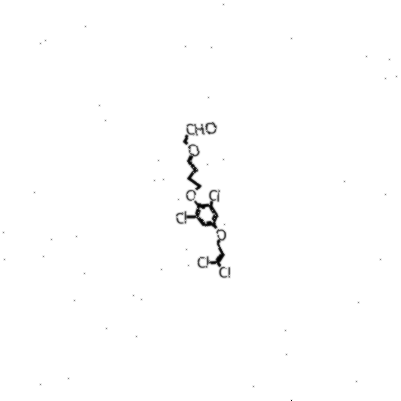 O=CCOCCCCOc1c(Cl)cc(OCC=C(Cl)Cl)cc1Cl